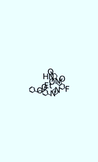 CCOc1cc(CN2CCN(c3cc(F)cc4c3CN(C3CCC(=O)NC3=O)C4=O)CC2)ccc1OCc1ccccc1